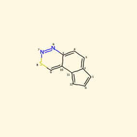 c1cc2ccc3nnscc3c2c1